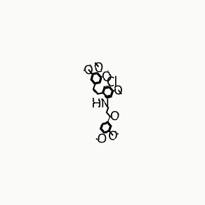 COc1cc(NCCC(=O)c2ccc(OC)c(OC)c2)c(/C=C\c2cc(OC)c(OC)c(OC)c2)cc1Cl